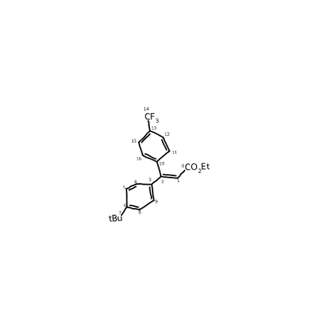 CCOC(=O)C=C(c1ccc(C(C)(C)C)cc1)c1ccc(C(F)(F)F)cc1